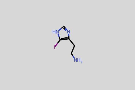 NCCc1nc[nH]c1I